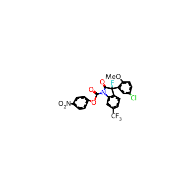 COc1ccc(Cl)cc1C1(F)C(=O)N(C(=O)Oc2ccc([N+](=O)[O-])cc2)c2cc(C(F)(F)F)ccc21